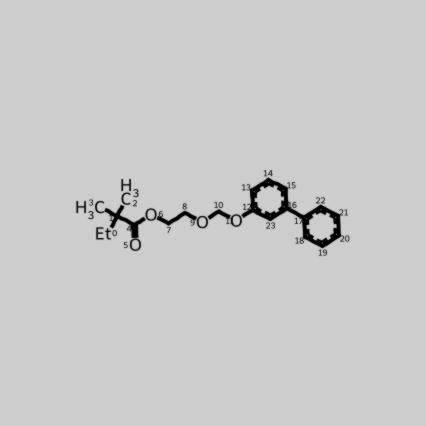 CCC(C)(C)C(=O)OCCOCOc1cccc(-c2ccccc2)c1